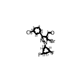 O=Cc1c(-c2cccc(Cl)c2)nn(-c2cc(F)cc(F)c2)c1Br